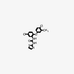 Cc1cc(Oc2ccc(Cl)cc2NC(=O)Nc2nccs2)ccc1Cl